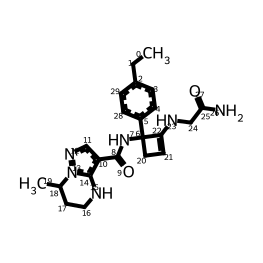 CCc1ccc(C2(NC(=O)c3cnn4c3NCCC4C)CC=C2NCC(N)=O)cc1